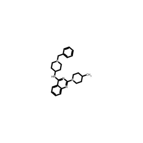 CC1CCN(c2nc(NC3CCN(Cc4ccccc4)CC3)c3ccccc3n2)CC1